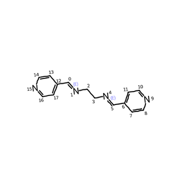 C(=N\CC/N=C/c1ccncc1)/c1ccncc1